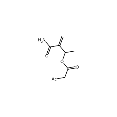 C=C(C(N)=O)C(C)OC(=O)CC(C)=O